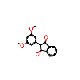 COc1cc(OC)cc(C2C(=O)c3ccccc3C2=O)c1